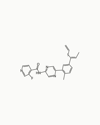 C=CS/C(=C\C)c1ccc(C)c(-c2cnc(NC(=O)c3ccncc3F)cn2)c1